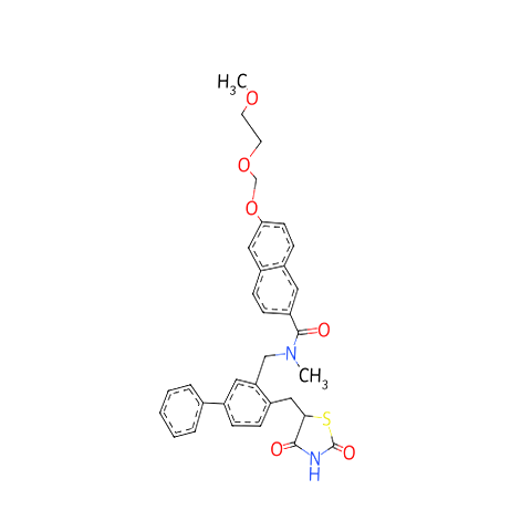 COCCOCOc1ccc2cc(C(=O)N(C)Cc3cc(-c4ccccc4)ccc3CC3SC(=O)NC3=O)ccc2c1